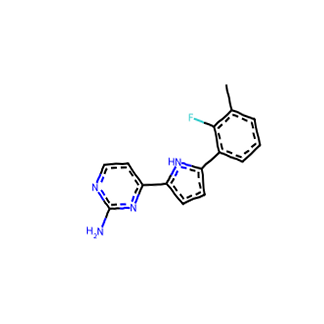 Cc1cccc(-c2ccc(-c3ccnc(N)n3)[nH]2)c1F